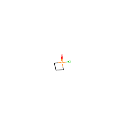 O=P1(Cl)CCC1